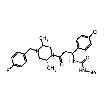 CC(C)NC(=O)NC(CC(=O)N1C[C@H](C)N(Cc2ccc(F)cc2)C[C@H]1C)c1ccc(Cl)cc1